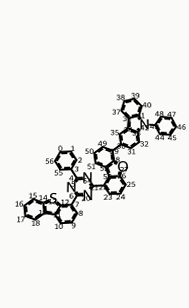 c1ccc(-c2nc(-c3cccc4c3sc3ccccc34)nc(-c3cccc4oc5c(-c6ccc7c(c6)c6ccccc6n7-c6ccccc6)cccc5c34)n2)cc1